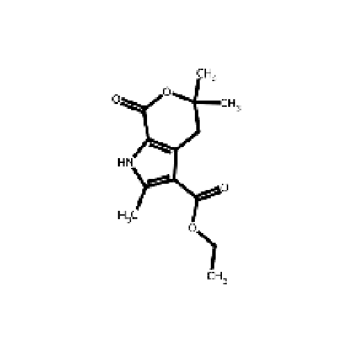 CCOC(=O)c1c(C)[nH]c2c1CC(C)(C)OC2=O